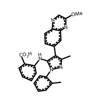 COc1cnc2ccc(-c3c(C)nn(-c4ccccc4C)c3Nc3ccccc3C(=O)O)cc2n1